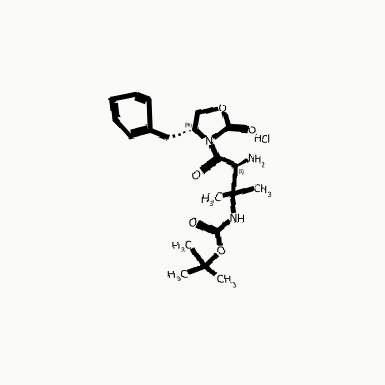 CC(C)(C)OC(=O)NC(C)(C)[C@H](N)C(=O)N1C(=O)OC[C@H]1Cc1ccccc1.Cl